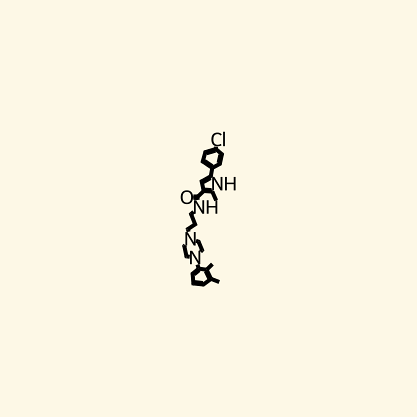 Cc1cccc(N2CCN(CCCNC(=O)c3cc(-c4ccc(Cl)cc4)[nH]c3C)CC2)c1C